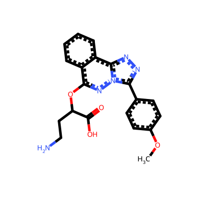 COc1ccc(-c2nnc3c4ccccc4c(OC(CCN)C(=O)O)nn23)cc1